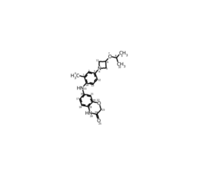 Cc1cc(N2CC(OC(C)C)C2)ccc1Nc1ccc2c(c1)OCC(=O)N2